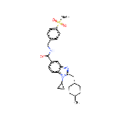 CNS(=O)(=O)c1ccc(CNC(=O)c2ccc3c(c2)nc(C[C@H]2CC[C@H](C(F)(F)F)CC2)n3C2CC2)cc1